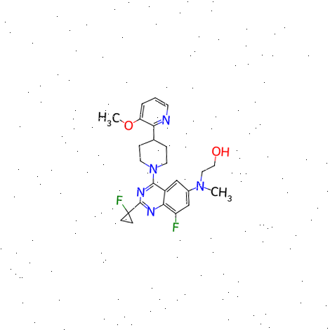 COc1cccnc1C1CCN(c2nc(C3(F)CC3)nc3c(F)cc(N(C)CCO)cc23)CC1